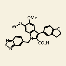 COc1cc2c(-c3ccc4c(c3)CCO4)c(C(=O)O)n(Cc3ccc4nsnc4c3)c2cc1OC(C)C